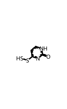 O=c1nc(SS)cc[nH]1